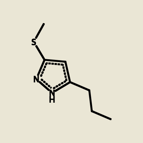 CCCc1cc(SC)n[nH]1